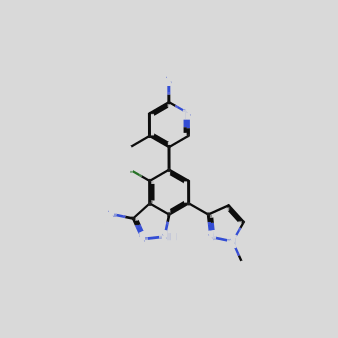 Cc1cc(N)ncc1-c1cc(-c2ccn(C)n2)c2[nH]nc(N)c2c1Cl